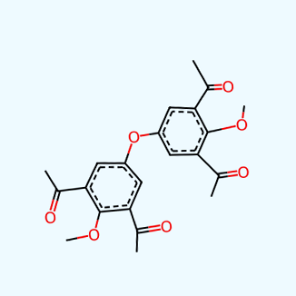 COc1c(C(C)=O)cc(Oc2cc(C(C)=O)c(OC)c(C(C)=O)c2)cc1C(C)=O